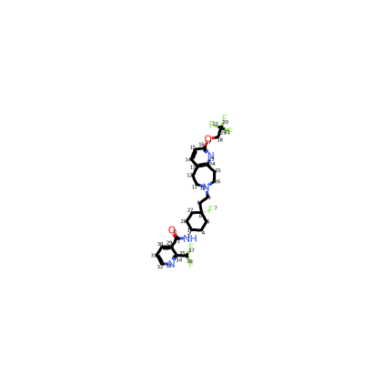 O=C(N[C@H]1CC[C@](F)(CCN2CCc3ccc(OCC(F)(F)F)nc3CC2)CC1)c1cccnc1C(F)F